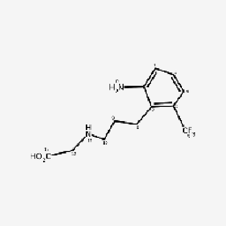 Nc1cccc(C(F)(F)F)c1CCCNCC(=O)O